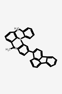 CC(=N)c1cccc(C)c1N(c1cccc(-c2ccc3c4c(cccc24)-c2ccccc2-3)c1)c1ccccc1C